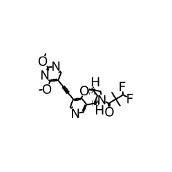 COc1ncc(C#Cc2cncc3c2O[C@H]2C[C@@H]3N(C(=O)C(C)(C)C(F)F)C2)c(OC)n1